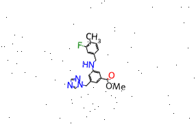 COC(=O)c1cc(Cn2cncn2)cc(NCc2ccc(C)c(F)c2)c1